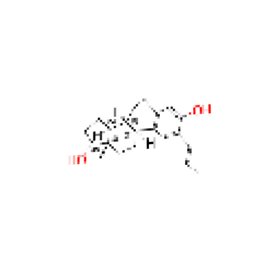 CC=Cc1cc2c(cc1O)CC[C@@H]1[C@@H]2CC[C@]2(C)[C@H](O)CC[C@@H]12